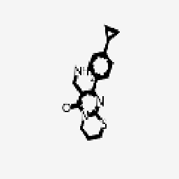 NCc1c(-c2ccc(C3CC3)cc2)nc2n(c1=O)CCCS2